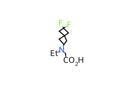 CCN(CC(=O)O)C1CC2(C1)CC(F)(F)C2